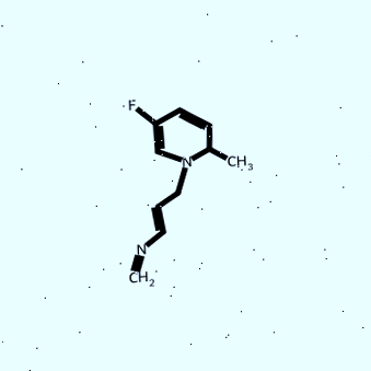 C=NC=CCN1C=C(F)C=CC1C